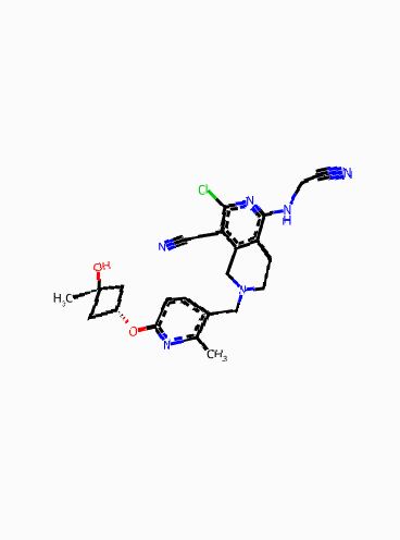 Cc1nc(O[C@H]2C[C@@](C)(O)C2)ccc1CN1CCc2c(NCC#N)nc(Cl)c(C#N)c2C1